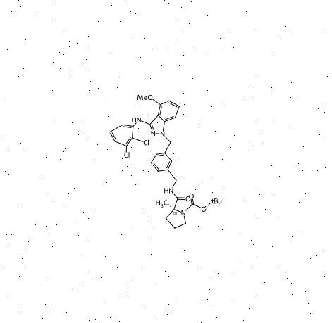 COc1cccc2c1c(Nc1cccc(Cl)c1Cl)nn2Cc1cccc(CNC(=O)[C@]2(C)CCCN2C(=O)OC(C)(C)C)c1